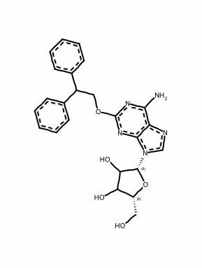 Nc1nc(OCC(c2ccccc2)c2ccccc2)nc2c1ncn2[C@@H]1O[C@H](CO)C(O)C1O